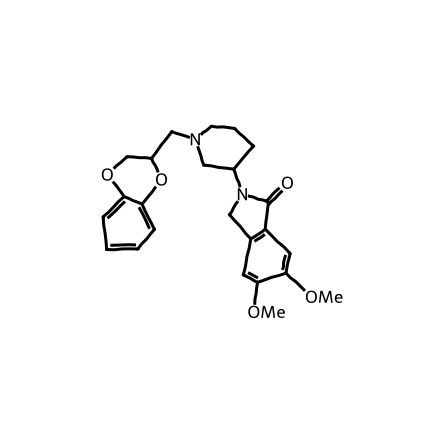 COc1cc2c(cc1OC)C(=O)N(C1CCCN(CC3COc4ccccc4O3)C1)C2